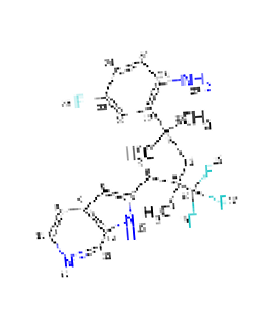 CC(C)(CC(C)(Cc1cc2ccncc2[nH]1)C(F)(F)F)c1cc(F)ccc1N